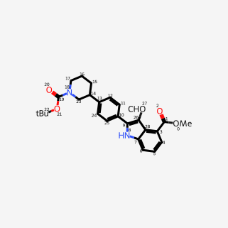 COC(=O)c1cccc2[nH]c(-c3ccc(C4CCCN(C(=O)OC(C)(C)C)C4)cc3)c(C=O)c12